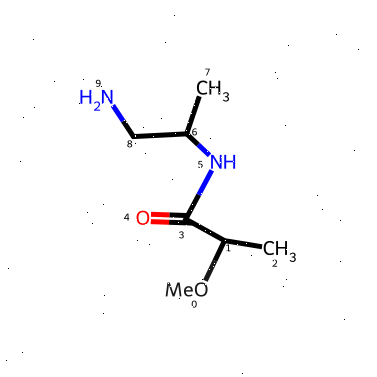 COC(C)C(=O)NC(C)CN